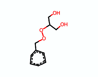 OCC(CO)OOCc1ccccc1